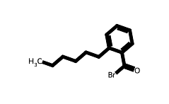 CCCCCCc1ccccc1C(=O)Br